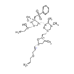 C=CCOC/C=C/[C@H]1CC(=C)[C@H](CC[C@H]2C[C@@H](C)C(=C)[C@@H](C[C@@H]3C[C@H](C[C@H](O)CN)[C@H](OC)[C@H]3CS(=O)(=O)c3ccccc3)O2)O1